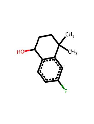 CC1(C)CCC(O)c2ccc(F)cc21